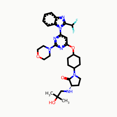 CC(C)(O)CN[C@H]1CCN(C2CCC(Oc3cc(-n4c(C(F)F)nc5ccccc54)nc(N4CCOCC4)n3)CC2)C1=O